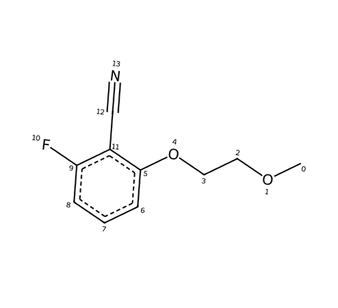 COCCOc1cccc(F)c1C#N